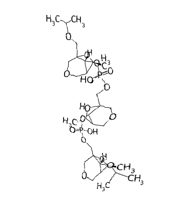 CC(C)OCC12COCC([C@H](C)O1)[C@H]2OP(=O)(O)OCC12COCC([C@H](C)O1)[C@H]2OP(=O)(O)OCC12COCC([C@H](C)O1)[C@H]2OC(C)C